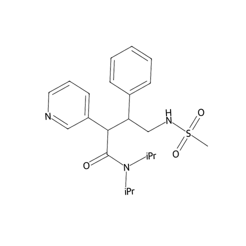 CC(C)N(C(=O)C(c1cccnc1)C(CNS(C)(=O)=O)c1ccccc1)C(C)C